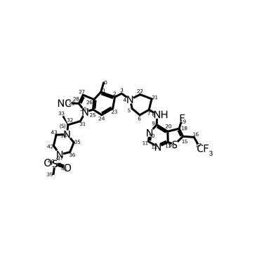 Cc1c(CN2CCC(Nc3ncnc4sc(CC(F)(F)F)c(F)c34)CC2)ccc2c1cc(C#N)n2C[C@H](C)N1CCN(S(C)(=O)=O)CC1